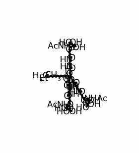 CCC(C)(C)CCCCCCCCCCC(=O)NC(COCCC(=O)NCCCNC(=O)CCCCO[C@@H]1OC(CO)[C@@H](O)C(O)C1NC(C)=O)(COCCC(=O)NCCCNC(=O)CCCCO[C@@H]1OC(CO)[C@@H](O)C(O)C1NC(C)=O)COCCC(=O)NCCCNC(=O)CCCCO[C@@H]1OC(CO)[C@@H](O)C(O)C1NC(C)=O